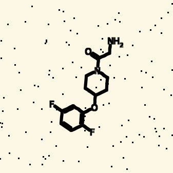 NCC(=O)N1CCC(Oc2cc(F)ccc2F)CC1